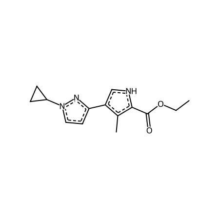 CCOC(=O)c1[nH]cc(-c2ccn(C3CC3)n2)c1C